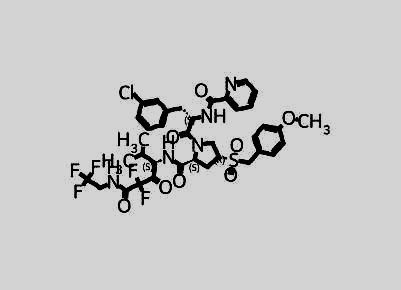 COc1ccc(CS(=O)(=O)[C@@H]2C[C@@H](C(=O)N[C@H](C(=O)C(F)(F)C(=O)NCC(F)(F)F)C(C)C)N(C(=O)[C@H](Cc3cccc(Cl)c3)NC(=O)c3ccccn3)C2)cc1